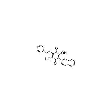 C/C(=C\c1ccccc1)C1=C(O)C(=O)C(c2ccc3ccccc3c2)=C(O)C1=O